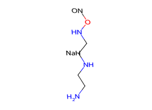 NCCNCCNON=O.[NaH]